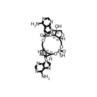 Nc1ncnc2c1ccn2[C@@]1(O)CO[C@@H]2COP(=O)(S)O[C@@H]3[C@H](O)[C@@H](COP(=O)(S)O[C@H]21)O[C@H]3n1cnc2c(N)ncnc21